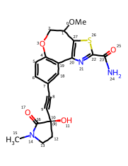 COC1COc2ccc(C#C[C@]3(O)CCN(C)C3=O)cc2-c2nc(C(N)=O)sc21